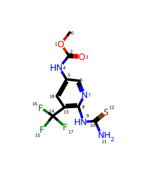 COC(=O)Nc1cnc(NC(N)=S)c(C(F)(F)F)c1